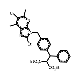 CCOC(=O)C(C(=O)OCC)C(c1ccccc1)c1ccc(Cn2c(CC)nc3c(C)c(Cl)c(C)nc32)cc1